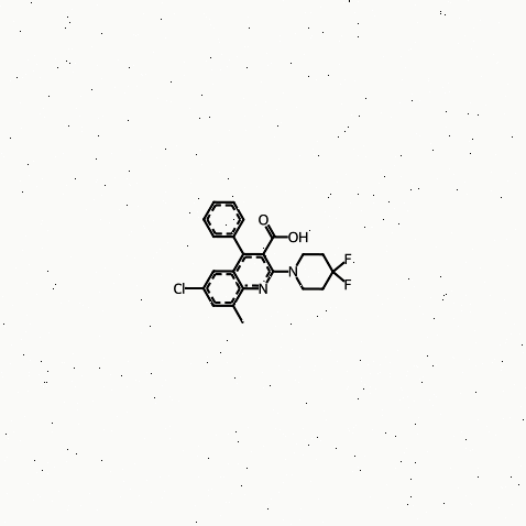 Cc1cc(Cl)cc2c(-c3ccccc3)c(C(=O)O)c(N3CCC(F)(F)CC3)nc12